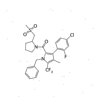 Cc1c(-c2ccc(Cl)cc2F)c(C(=O)N2CCCC2CS(C)(=O)=O)n(Cc2ccccc2)c1C(F)(F)F